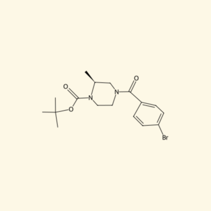 C[C@H]1CN(C(=O)c2ccc(Br)cc2)CCN1C(=O)OC(C)(C)C